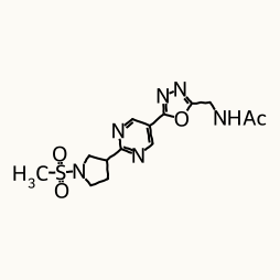 CC(=O)NCc1nnc(-c2cnc(C3CCN(S(C)(=O)=O)C3)nc2)o1